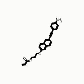 C=CC(=O)OCCCOc1ccc2cc(C#Cc3ccc(N)cc3)ccc2c1